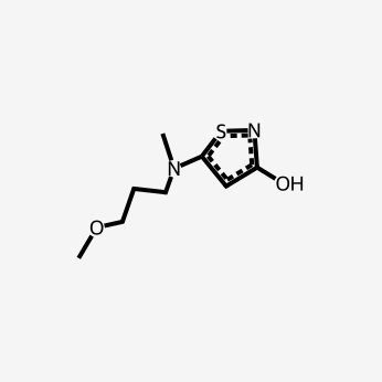 COCCCN(C)c1cc(O)ns1